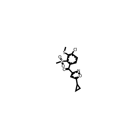 CSc1c(Cl)ccc(C(=O)c2cc(C3CC3)on2)c1S(C)(=O)=O